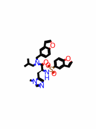 CC(C)CN(Cc1ccc2occc2c1)C(=O)[C@H](Cc1cncn1C)NS(=O)(=O)c1ccc2occc2c1